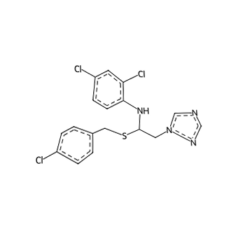 Clc1ccc(CSC(Cn2cncn2)Nc2ccc(Cl)cc2Cl)cc1